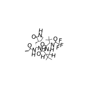 C=CC(=O)N[C@H](C[C@@H]1CCNC1=O)NC(=O)[C@@H]1[C@@H]2[C@H](CN1C(=O)[C@@H](NC(=O)C(F)(F)F)C(C)(C)C)C2(C)C